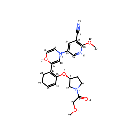 COCC(=O)N1CC[C@H](OC2=C(C3=CN(c4cnc(OC)c(C#N)c4)C=CO3)CCC=C2)C1